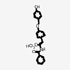 N#Cc1ccc(COc2ccc(/C=C(/NC(=O)c3ccccc3)C(=O)O)cc2)cc1